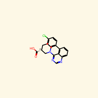 O=C(O)[C@@H]1CCCN(c2ncnc3cccc(-c4ccc(Cl)cc4)c23)C1